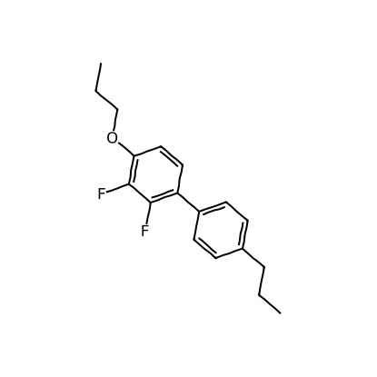 CCCOc1ccc(-c2ccc(CCC)cc2)c(F)c1F